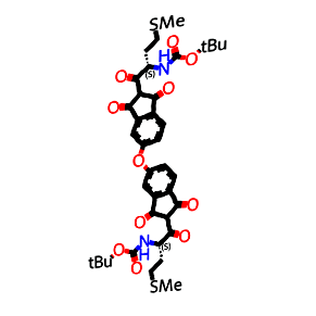 CSCC[C@H](NC(=O)OC(C)(C)C)C(=O)C1C(=O)c2ccc(Oc3ccc4c(c3)C(=O)C(C(=O)[C@H](CCSC)NC(=O)OC(C)(C)C)C4=O)cc2C1=O